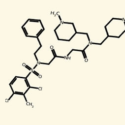 Cc1c(Cl)ccc(S(=O)(=O)N(CCc2ccccc2)CC(=O)NCC(=O)N(CC2CCNCC2)CC2CCCN(C)C2)c1Cl